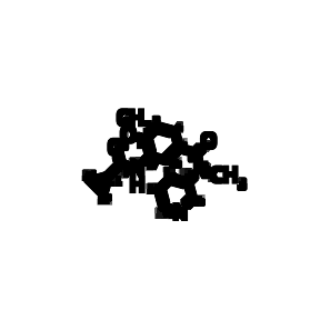 COc1ccc(C(=O)N(C)c2cccnc2)cc1NC(=O)C1CC1